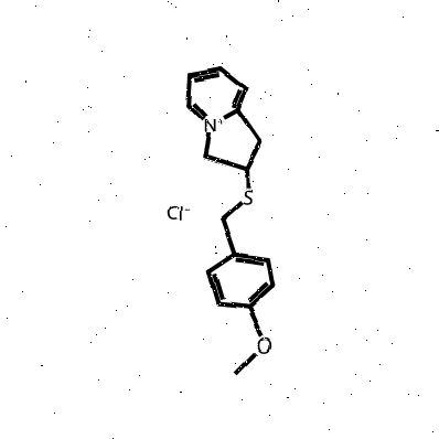 COc1ccc(CSC2Cc3cccc[n+]3C2)cc1.[Cl-]